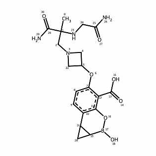 CC(CN1CC(Oc2ccc3c(c2C(=O)O)OB(O)C2CC32)C1)(NCC(N)=O)C(N)=O